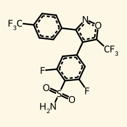 NS(=O)(=O)c1c(F)cc(-c2c(-c3ccc(C(F)(F)F)cc3)noc2C(F)(F)F)cc1F